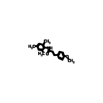 COc1ccc(CCC(=O)Nc2c(C)cc(C)cc2C)cc1